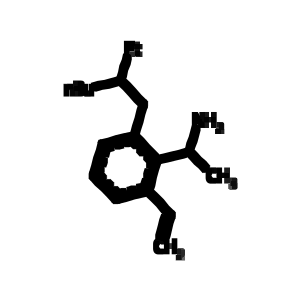 C=Cc1cccc(CC(CC)CCCC)c1C(C)N